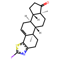 C[C@]12CCc3nc(I)sc3C1=CC[C@@H]1[C@@H]2CC[C@]2(C)C(=O)CC[C@@H]12